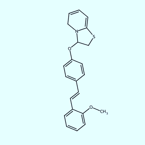 COc1ccccc1/C=C/c1ccc(OC2CSC3=CC=CCN32)cc1